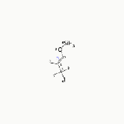 C/C(=C\O[SiH3])C(C)(C)I